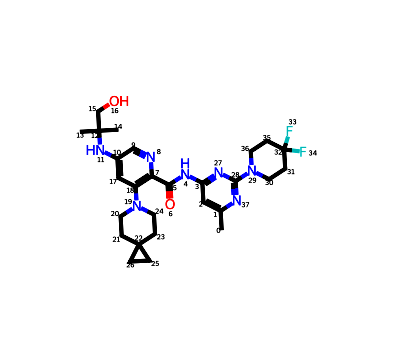 Cc1cc(NC(=O)c2ncc(NC(C)(C)CO)cc2N2CCC3(CC2)CC3)nc(N2CCC(F)(F)CC2)n1